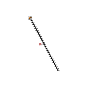 CCCCCCCCCCCCCCCCCCCCCCCCCCCCCCCCCCCCCCCCCCCCCCCCCCCCC[P+](C)(C)C.[Br-]